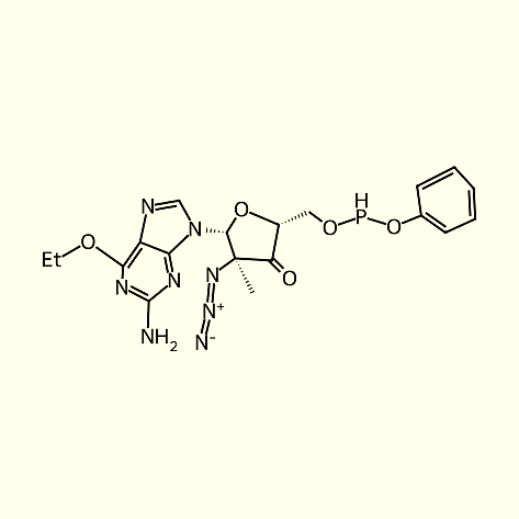 CCOc1nc(N)nc2c1ncn2[C@@H]1O[C@H](COPOc2ccccc2)C(=O)[C@@]1(C)N=[N+]=[N-]